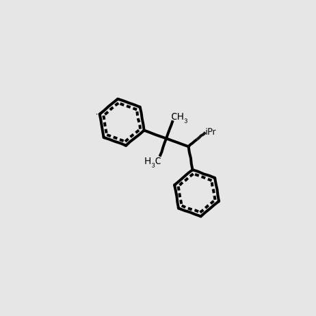 CC(C)C(c1ccccc1)C(C)(C)c1cc[c]cc1